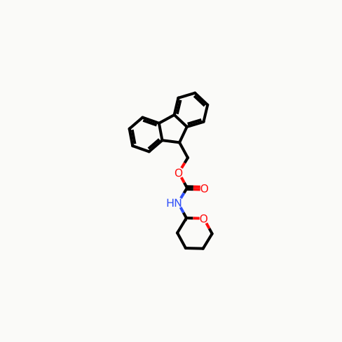 O=C(N[C]1CCCCO1)OCC1c2ccccc2-c2ccccc21